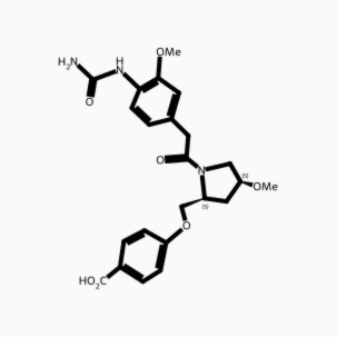 COc1cc(CC(=O)N2C[C@@H](OC)C[C@H]2COc2ccc(C(=O)O)cc2)ccc1NC(N)=O